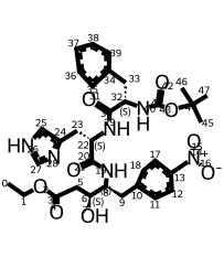 CCOC(=O)C[C@H](O)[C@H](Cc1ccc([N+](=O)[O-])cc1)NC(=O)[C@H](Cc1c[nH]cn1)NC(=O)[C@H](Cc1ccccc1)NC(=O)OC(C)(C)C